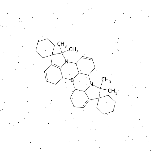 CC1(C)N2C3=C(C=CCC3B3C4CCC=C5C4N(C4CC=CC2C34)C(C)(C)C52CCCCC2)C12CCCCC2